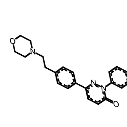 O=c1ccc(-c2ccc(CCN3CCOCC3)cc2)nn1-c1ccccc1